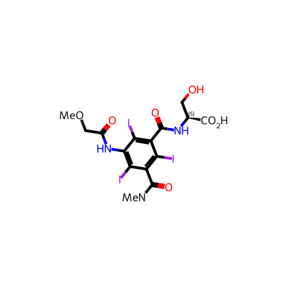 CNC(=O)c1c(I)c(NC(=O)COC)c(I)c(C(=O)N[C@@H](CO)C(=O)O)c1I